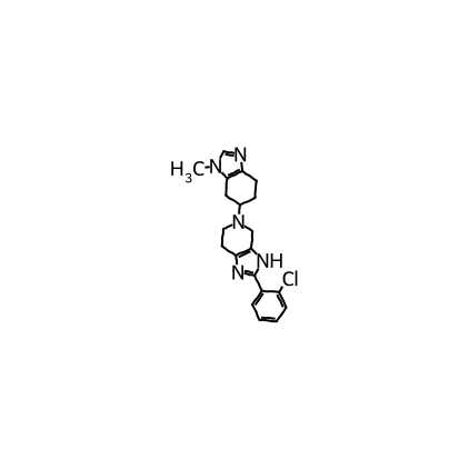 Cn1cnc2c1CC(N1CCc3nc(-c4ccccc4Cl)[nH]c3C1)CC2